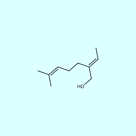 C/C=C(/CO)CCC=C(C)C